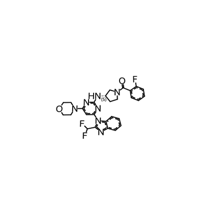 O=C(c1ccccc1F)N1CC[C@H](Nc2nc(N3CCOCC3)cc(-n3c(C(F)F)nc4ccccc43)n2)C1